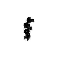 COc1cc(-c2ccnc(Nc3cccc(OC(F)(F)C(F)F)c3)n2)ccn1